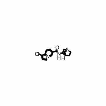 O=C(NC1CN2CC[C@H]1C2)c1ccc2c(Cl)ccn2c1